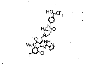 COC(=O)C1=C(CN2CCN3C(=O)N(c4ccc(C(O)C(F)(F)F)cc4)C[C@@H]3C2)NC(c2nccs2)=N[C@H]1c1ccc(F)cc1Cl